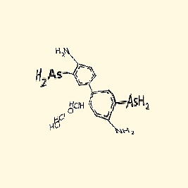 Cl.Cl.Cl.Cl.Nc1ccc(-c2ccc(N)c([AsH2])c2)cc1[AsH2]